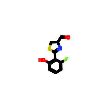 O=CC1CSC(c2c(O)cccc2F)=N1